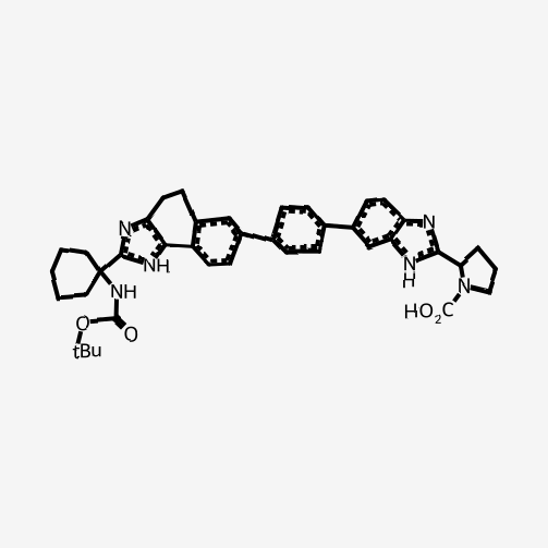 CC(C)(C)OC(=O)NC1(c2nc3c([nH]2)-c2ccc(-c4ccc(-c5ccc6nc(C7CCCN7C(=O)O)[nH]c6c5)cc4)cc2CC3)CCCCC1